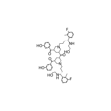 Cc1c(F)cccc1[C@@H](CCCN1CC(C(=O)c2cccc(O)c2)CC(C(=O)C2CC(C(=O)c3cccc(O)c3)CN(CCC[C@@H](NCCO)c3cccc(F)c3C)C2)C1)NCCO